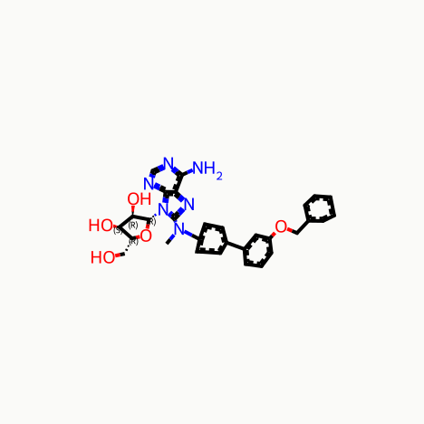 CN(c1ccc(-c2cccc(OCc3ccccc3)c2)cc1)c1nc2c(N)ncnc2n1[C@@H]1O[C@H](CO)[C@@H](O)[C@H]1O